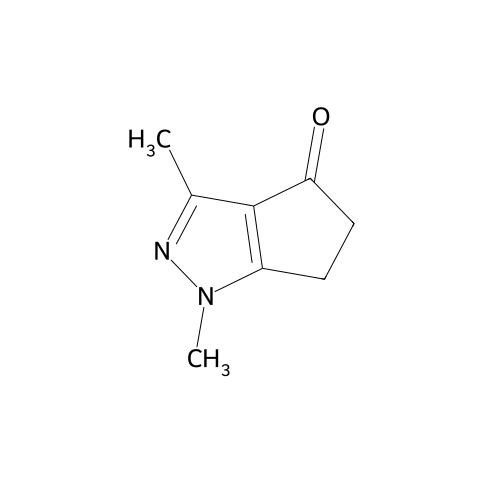 Cc1nn(C)c2c1C(=O)CC2